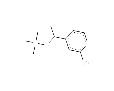 CC(O[Si](C)(C)C)c1ccnc(C#N)c1